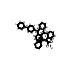 Cc1oc2ccccc2c1-c1c(C)oc2cccc(-c3c4ccccc4c(-c4ccc(-c5ccccc5)cc4)c4ccccc34)c12